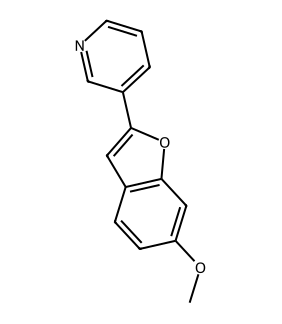 COc1ccc2cc(-c3cccnc3)oc2c1